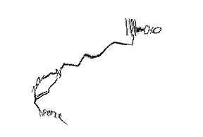 CCCCCc1cn(CCCCCCNC=O)nn1